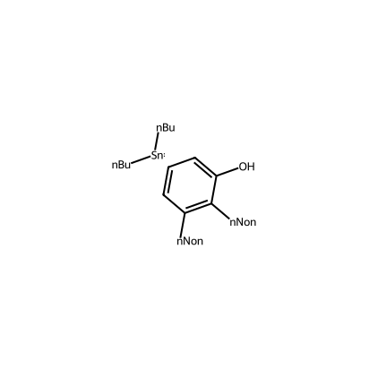 CCCCCCCCCc1cccc(O)c1CCCCCCCCC.CCC[CH2][Sn][CH2]CCC